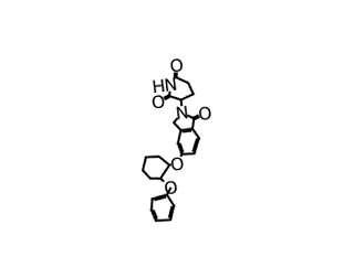 O=C1CCC(N2Cc3cc(OC4CCCCC4Oc4ccccc4)ccc3C2=O)C(=O)N1